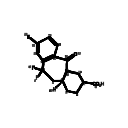 O=C(O)C1CC[C@H]2CC(F)(F)c3cc(F)ccc3C(=O)N2C1